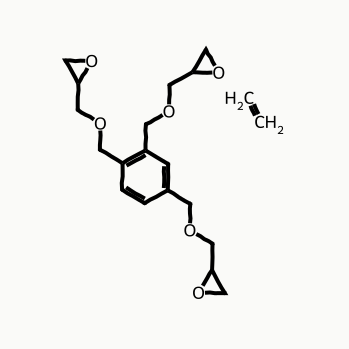 C=C.c1cc(COCC2CO2)c(COCC2CO2)cc1COCC1CO1